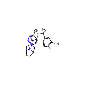 N#Cc1ccc(N2C3CCC2CN(C(=O)COC2(c4ccc(F)c(C#N)c4)CC2)C3)nc1